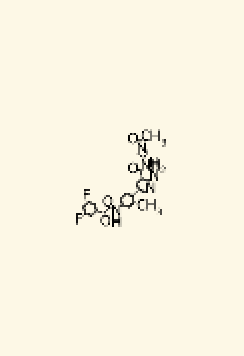 CC(=O)N1CC(NC(=O)c2cc(-c3ccc(NC(=O)C(O)c4cc(F)cc(F)c4)cc3C)cnc2N)C1